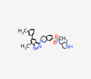 Cc1cccc(-c2cc(C)c3ncnc(N4CCc5ccc(S(=O)(=O)N(C)CC6CCNCC6)cc5C4)c3c2)c1